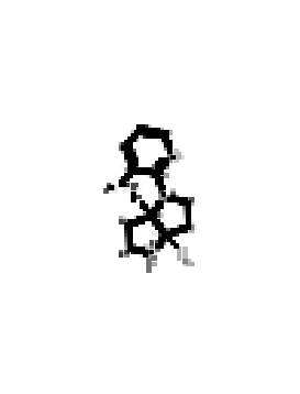 CC(=O)c1cccnc1N1CC[C@H]2NCC[C@@H]21